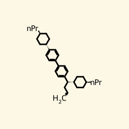 C=CCC(c1ccc(-c2ccc([C@H]3CC[C@H](CCC)CC3)cc2)cc1)[C@H]1CC[C@H](CCC)CC1